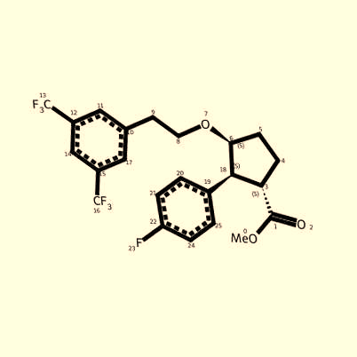 COC(=O)[C@H]1CC[C@H](OCCc2cc(C(F)(F)F)cc(C(F)(F)F)c2)[C@@H]1c1ccc(F)cc1